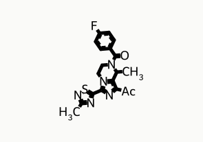 CC(=O)c1nc(-c2nc(C)ns2)n2c1C(C)N(C(=O)c1ccc(F)cc1)CC2